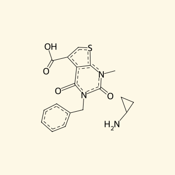 Cn1c(=O)n(Cc2ccccc2)c(=O)c2c(C(=O)O)csc21.NC1CC1